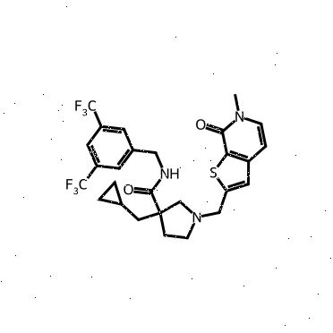 Cn1ccc2cc(CN3CCC(CC4CC4)(C(=O)NCc4cc(C(F)(F)F)cc(C(F)(F)F)c4)C3)sc2c1=O